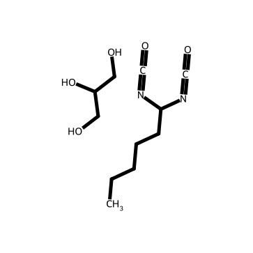 CCCCCC(N=C=O)N=C=O.OCC(O)CO